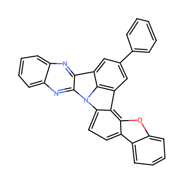 c1ccc(-c2cc3c4nc5ccccc5nc4n4c5ccc6c7ccccc7oc6c5c(c2)c34)cc1